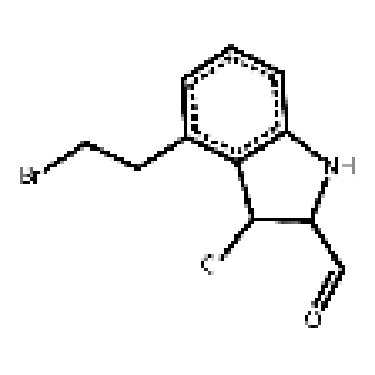 O=CC1Nc2cccc(CCBr)c2C1Cl